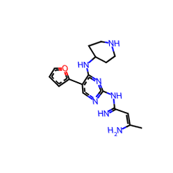 C/C(N)=C/C(=N)Nc1ncc(-c2ccco2)c(NC2CCNCC2)n1